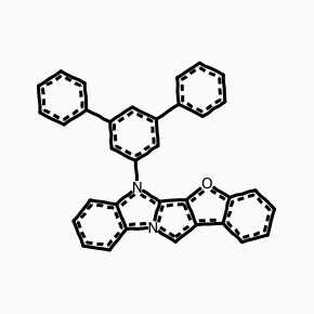 c1ccc(-c2cc(-c3ccccc3)cc(-n3c4ccccc4n4cc5c6ccccc6oc5c34)c2)cc1